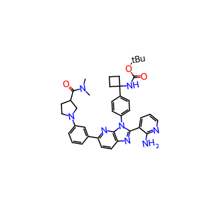 CN(C)C(=O)C1CCN(c2cccc(-c3ccc4nc(-c5cccnc5N)n(-c5ccc(C6(NC(=O)OC(C)(C)C)CCC6)cc5)c4n3)c2)C1